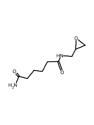 NC(=O)CCCCC(=O)NCC1CO1